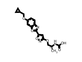 C[C@@H](COc1cc(-c2nc3ccc(OCC4CC4)cc3o2)on1)NC(=O)O